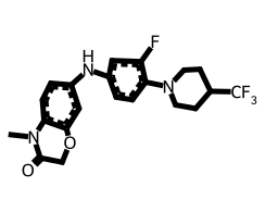 CN1C(=O)COc2cc(Nc3ccc(N4CCC(C(F)(F)F)CC4)c(F)c3)ccc21